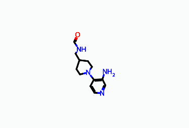 Nc1cnccc1N1CCC(CNC=O)CC1